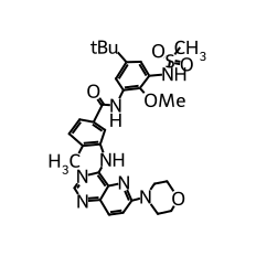 COc1c(NC(=O)c2ccc(C)c(Nc3ncnc4ccc(N5CCOCC5)nc34)c2)cc(C(C)(C)C)cc1NS(C)(=O)=O